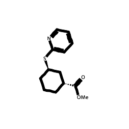 COC(=O)[C@@H]1CCC[C@@H](Sc2ccccn2)C1